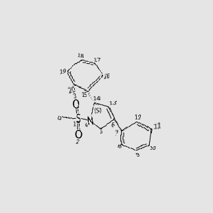 CS(=O)(=O)N1CC(c2ccccc2)=C[C@H]1c1ccccc1